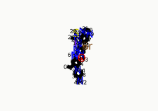 CCc1cc(N(C)c2ncc(Br)c(N(I)c3ccc4nccnc4c3N(CC)SC)n2)c(OC)cc1N1CCC(N(C)C)CC1